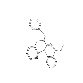 COC(=O)c1ccccc1N1C(=O)N(Cc2ccccc2)Cc2cccnc21